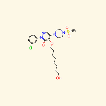 CC(C)S(=O)(=O)N1CCN(c2cnn(-c3cccc(Cl)c3)c(=O)c2OCCCCCCCCO)CC1